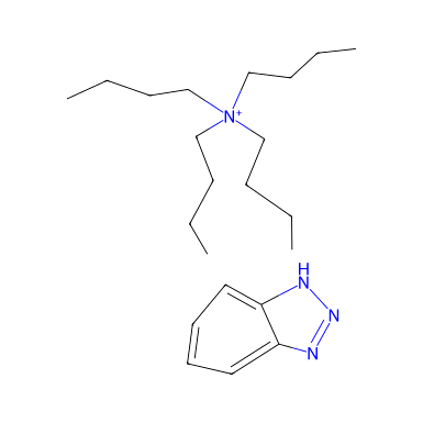 CCCC[N+](CCCC)(CCCC)CCCC.c1ccc2[nH]nnc2c1